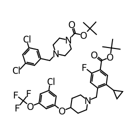 CC(C)(C)OC(=O)N1CCN(Cc2cc(Cl)cc(Cl)c2)CC1.CC(C)(C)OC(=O)c1cc(C2CC2)c(CN2CCC(Oc3cc(Cl)cc(OC(F)(F)F)c3)CC2)cc1F